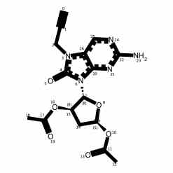 C#CCn1c(=O)n([C@@H]2O[C@@H](OC(C)=O)C[C@H]2OC(C)=O)c2nc(N)ncc21